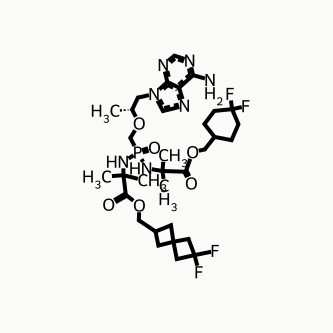 C[C@H](Cn1cnc2c(N)ncnc21)OCP(=O)(NC(C)(C)C(=O)OCC1CCC(F)(F)CC1)NC(C)(C)C(=O)OCC1CC2(C1)CC(F)(F)C2